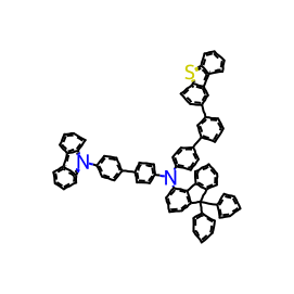 c1ccc(C2(c3ccccc3)c3ccccc3-c3c(N(c4ccc(-c5ccc(-n6c7ccccc7c7ccccc76)cc5)cc4)c4ccc(-c5cccc(-c6ccc7sc8ccccc8c7c6)c5)cc4)cccc32)cc1